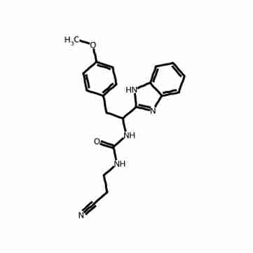 COc1ccc(CC(NC(=O)NCCC#N)c2nc3ccccc3[nH]2)cc1